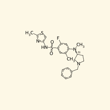 Cc1nc(NS(=O)(=O)c2cc(C)c(N(C)[C@H]3CCN(Cc4ccccc4)C3)cc2F)cs1